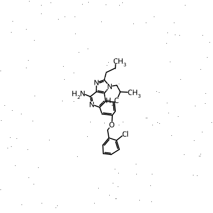 CCCc1nc2c(N)nc3cc(OCc4ccccc4Cl)ccc3c2n1CC(C)C